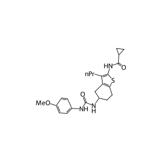 CCCc1c(NC(=O)C2CC2)sc2c1CC(NC(=O)Nc1ccc(OC)cc1)CC2